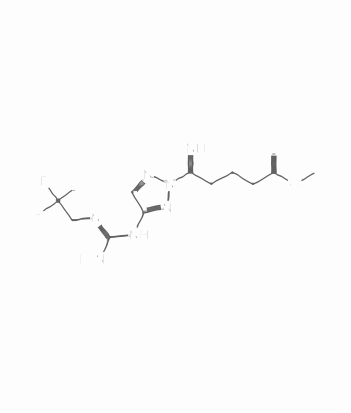 COC(=O)CCCC(=N)n1ncc(NC(N)=NCC(F)(F)F)n1